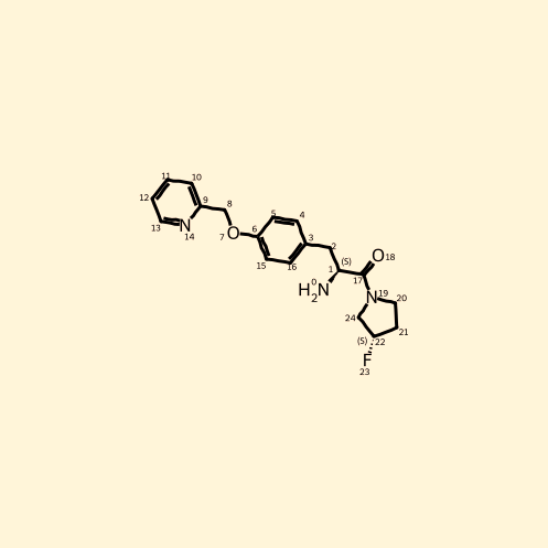 N[C@@H](Cc1ccc(OCc2ccccn2)cc1)C(=O)N1CC[C@H](F)C1